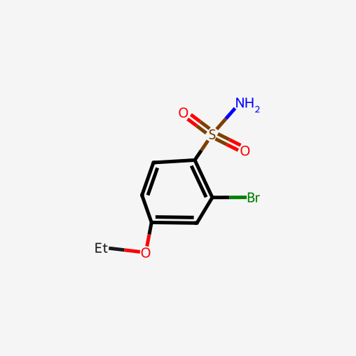 CCOc1ccc(S(N)(=O)=O)c(Br)c1